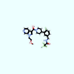 COCCn1cc(C(=O)N2CCC(c3cc(CNC(=O)C(F)(F)F)ccc3F)CC2)c2ccncc21